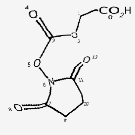 O=C(O)COC(=O)ON1C(=O)CCC1=O